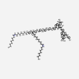 CCCCCCCC/C=C\CCCCCCCCOCC(COCCOCCOCCOCCOC(=O)CN(C(=O)OC(C)(C)C)C(C)COC(=O)CN(CCOC)C(=O)OC(C)(C)C)OCCCCCCCC/C=C\CCCCCCCC